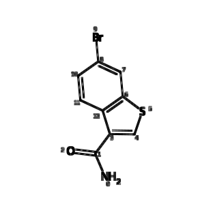 NC(=O)c1csc2cc(Br)ccc12